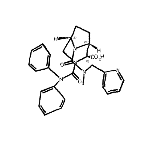 CN(Cc1ccccn1)C(=O)N1[C@H]2CC[C@@H]1[C@@H](C(=O)O)N(C(=O)N(c1ccccc1)c1ccccc1)C2